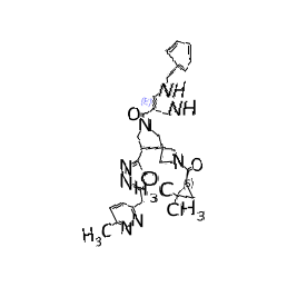 Cc1ccc(Cc2nnc(C3CN(C(=O)/C(C=N)=C/NCc4ccccc4)CC34CN(C(=O)[C@H]3CC3(C)C)C4)o2)nn1